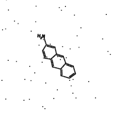 Nc1c[c]c2cc3ccccc3cc2c1